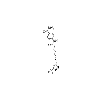 NC(=O)c1ccc(NC(=O)CCCCCCCc2noc(C(F)(F)F)n2)cc1